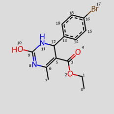 CCOC(=O)C1=C(C)N=C(O)NC1c1ccc(Br)cc1